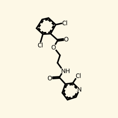 O=C(NCCOC(=O)c1c(Cl)cccc1Cl)c1cccnc1Cl